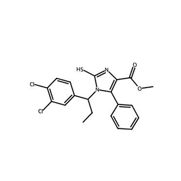 CCC(c1ccc(Cl)c(Cl)c1)n1c(S)nc(C(=O)OC)c1-c1ccccc1